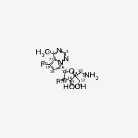 Cc1ncnn2c([C@@H]3O[C@](CN)(CO)[C@@H](O)[C@H]3F)cc(F)c12